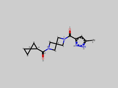 CC(C)c1cc(C(=O)N2CC3(C2)CN(C(=O)C2CC24CC4)C3)n[nH]1